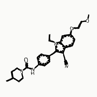 CCn1c(-c2ccc(NC(=O)N3CCC(C)CC3)cc2)c(C#N)c2ccc(OCCOC)cc21